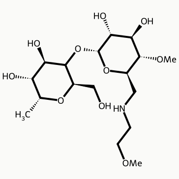 COCCNC[C@H]1O[C@H](OC2[C@@H](CO)O[C@H](C)[C@H](O)[C@H]2O)[C@H](O)[C@@H](O)[C@@H]1OC